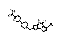 CNC(=O)c1ccc(N2CCN(Cc3cc4[nH]c(=O)c5c(C6CC6)ccn5c4s3)CC2)cn1